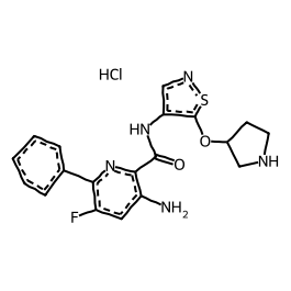 Cl.Nc1cc(F)c(-c2ccccc2)nc1C(=O)Nc1cnsc1OC1CCNC1